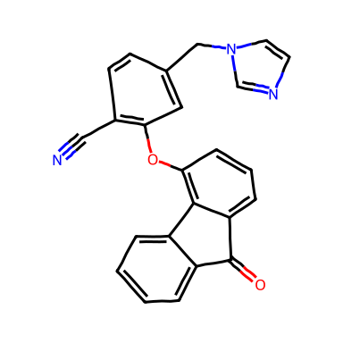 N#Cc1ccc(Cn2ccnc2)cc1Oc1cccc2c1-c1ccccc1C2=O